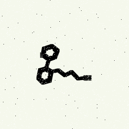 OCCCCc1ccccc1-c1ccccn1